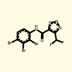 O=C(Nc1ccc(Br)c(Br)c1Br)c1snnc1C(F)F